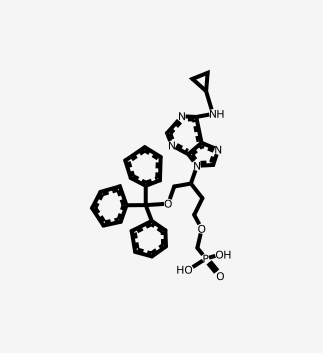 O=P(O)(O)COCCC(COC(c1ccccc1)(c1ccccc1)c1ccccc1)n1cnc2c(NC3CC3)ncnc21